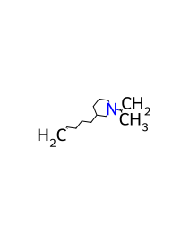 C=CCCCC1CCCN(C(=C)C)C1